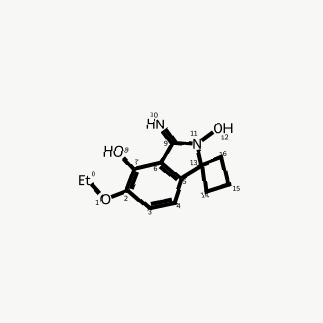 CCOc1ccc2c(c1O)C(=N)N(O)C21CCC1